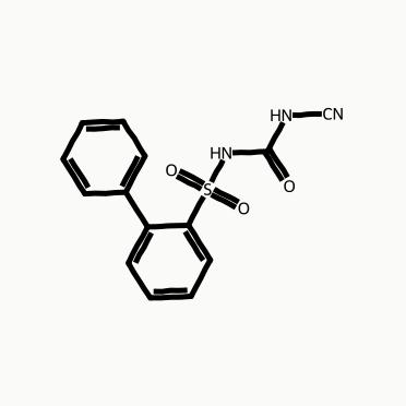 N#CNC(=O)NS(=O)(=O)c1ccccc1-c1ccccc1